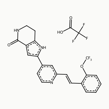 O=C(O)C(F)(F)F.O=C1NCCc2[nH]c(-c3ccnc(C=Cc4ccccc4OC(F)(F)F)c3)cc21